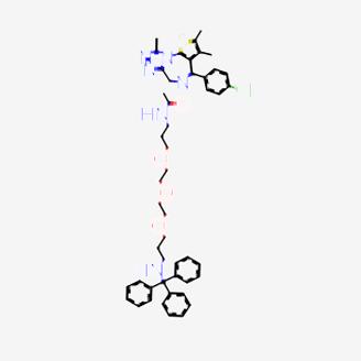 Cc1sc2c(c1C)C(c1ccc(Cl)cc1)=N[C@H](CC(=O)NCCCOCCOCCOCCCNC(c1ccccc1)(c1ccccc1)c1ccccc1)c1nnc(C)n1-2